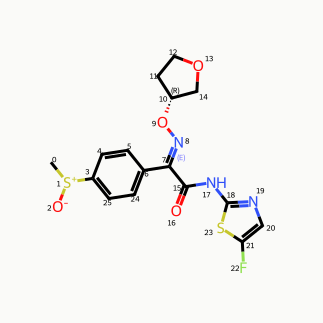 C[S+]([O-])c1ccc(/C(=N\O[C@@H]2CCOC2)C(=O)Nc2ncc(F)s2)cc1